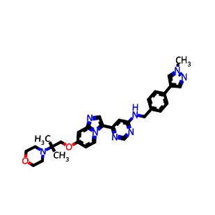 Cn1cc(-c2ccc(CNc3cc(-c4cnc5cc(OCC(C)(C)N6CCOCC6)ccn45)ncn3)cc2)cn1